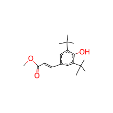 COC(=O)C=Cc1cc(C(C)(C)C)c(O)c(C(C)(C)C)c1